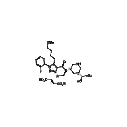 CCCCC(O)[C@H]1CNC[C@@H](N(CC(C)C)C(=O)c2nnn(-c3ccccc3F)c2CCCCOC)C1.O=C(O)/C=C/C(=O)O